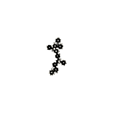 c1ccc(-c2nc(-c3ccc(-c4ccc5c(c4)nc(-c4ccccc4)c4ccc6c(c7ccccc7n6-c6ccccc6)c45)cc3)cc(-c3cccc(-c4cccc5c4oc4ccccc45)c3)n2)cc1